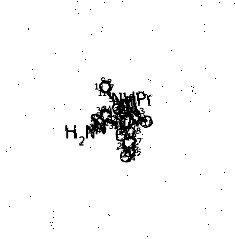 CCCN(C(=O)NCc1ccccc1)N1CC(=O)N2[C@@H](Cc3ccc4occc4c3)C(=O)N(Cc3cccc4sc(N)nc34)C[C@@H]21